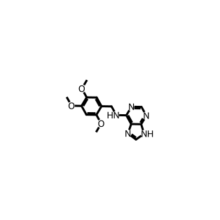 COc1cc(OC)c(OC)cc1CNc1ncnc2[nH]cnc12